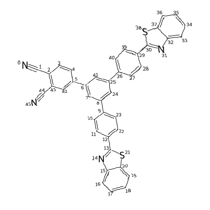 N#Cc1ccc(-c2cc(-c3ccc(-c4nc5ccccc5s4)cc3)cc(-c3ccc(-c4nc5ccccc5s4)cc3)c2)cc1C#N